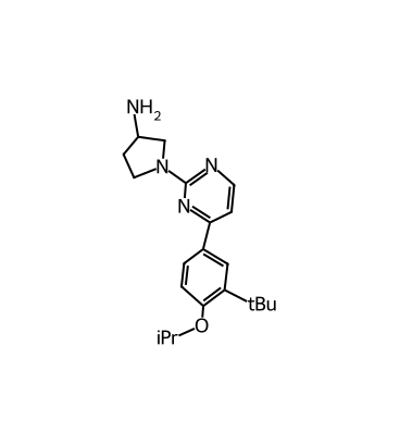 CC(C)Oc1ccc(-c2ccnc(N3CCC(N)C3)n2)cc1C(C)(C)C